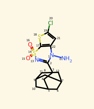 NN1C(C23CC4CC(CC(C4)C2)C3)=NS(=O)(=O)c2sc(Cl)cc21